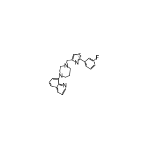 Fc1cccc(-c2nc(CN3CCCN(c4cccc5cccnc45)CC3)cs2)c1